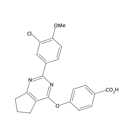 COc1ccc(-c2nc3c(c(Oc4ccc(C(=O)O)cc4)n2)CCC3)cc1Cl